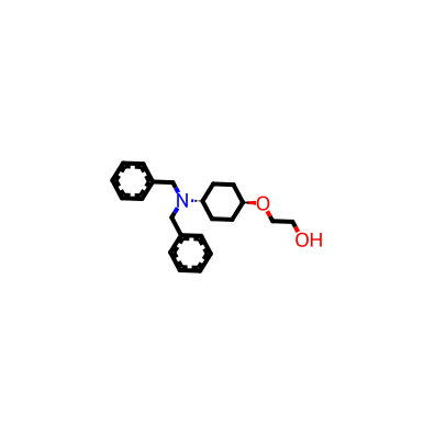 OCCO[C@H]1CC[C@H](N(Cc2ccccc2)Cc2ccccc2)CC1